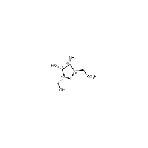 N[C@H]1[C@@H](O)[C@@H](CO)O[C@@H]1CC(=O)O